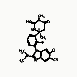 CN1C(=N)N[C@](C)(c2cccc(-n3c(N(C)C)nc4cc(C#N)c(Cl)cc43)c2F)CC1=O